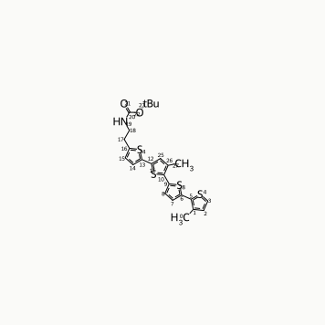 Cc1ccsc1-c1ccc(-c2sc(-c3ccc(CCNC(=O)OC(C)(C)C)s3)cc2C)s1